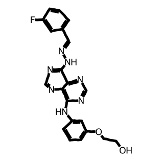 OCCOc1cccc(Nc2ncnc3c(NN=Cc4cccc(F)c4)ncnc23)c1